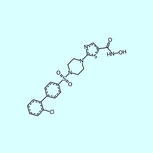 O=C(NO)c1cnc(N2CCN(S(=O)(=O)c3ccc(-c4ccccc4Cl)cc3)CC2)s1